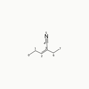 CCC=C(C#N)CC